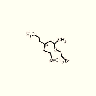 CCC[C@H](CCOC)CC(C)OCCBr